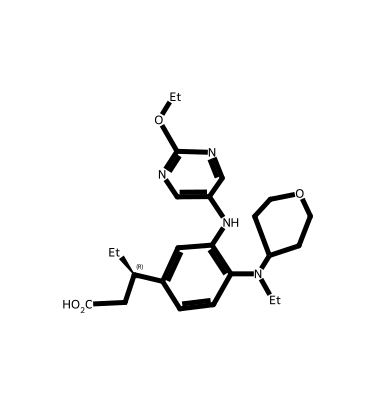 CCOc1ncc(Nc2cc([C@H](CC)CC(=O)O)ccc2N(CC)C2CCOCC2)cn1